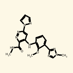 CNC(=O)c1nnc(-n2cccn2)cc1Nc1cccc(-c2ncn(C)n2)c1OC